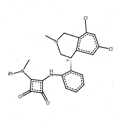 CC(C)N(C)c1c(Nc2ccccc2[C@@H]2CN(C)Cc3c(Cl)cc(Cl)cc32)c(=O)c1=O